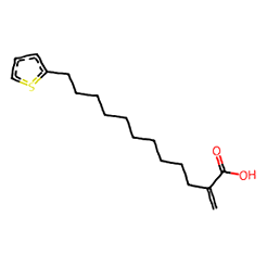 C=C(CCCCCCCCCCc1cccs1)C(=O)O